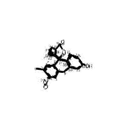 Cc1cc2c(cc1N=O)Cc1cc(O)ccc1C21OC(=O)c2ccccc21